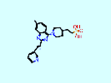 Cc1ccc2c(N3CCC(CCP(=O)(O)O)CC3)nc(/C=C/c3cccnc3)nc2c1